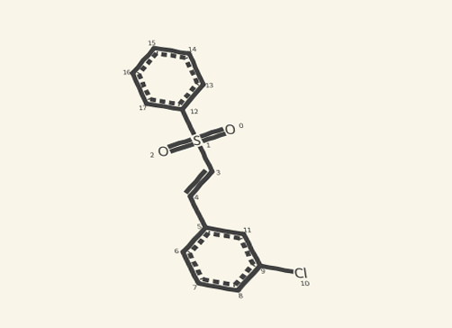 O=S(=O)(/C=C/c1cccc(Cl)c1)c1ccccc1